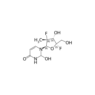 C[C@]1(F)[C@H](N2C=CC(=O)NC2O)O[C@](F)(CO)[C@H]1O